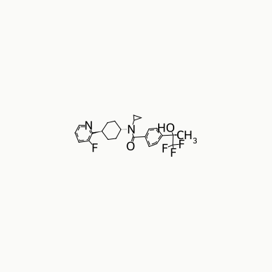 C[C@](O)(c1ccc(C(=O)N(C2CC2)[C@H]2CC[C@H](c3ncccc3F)CC2)cc1)C(F)(F)F